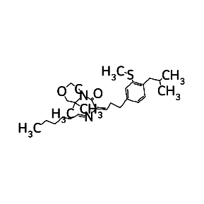 CCCCC/C=N/C(=C/CCc1ccc(CC(C)C)c(SC)c1)C(=O)N1CCOCC1(C)C